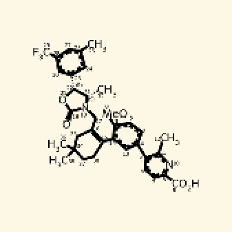 COc1ccc(-c2ccc(C(=O)O)nc2C)cc1C1=C(CN2C(=O)O[C@H](c3cc(C)cc(C(F)(F)F)c3)[C@@H]2C)CC(C)(C)CC1